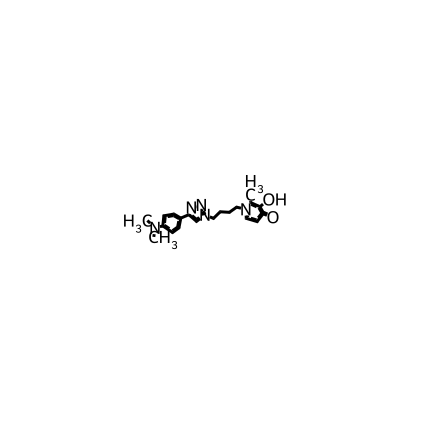 Cc1c(O)c(=O)ccn1CCCCn1cc(-c2ccc(N(C)C)cc2)nn1